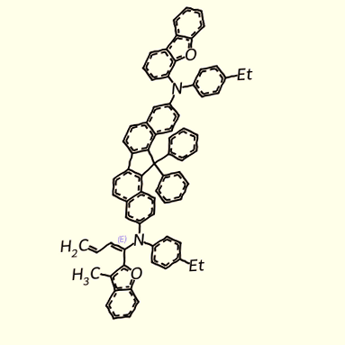 C=C/C=C(\c1oc2ccccc2c1C)N(c1ccc(CC)cc1)c1ccc2c3c(ccc2c1)-c1ccc2cc(N(c4ccc(CC)cc4)c4cccc5c4oc4ccccc45)ccc2c1C3(c1ccccc1)c1ccccc1